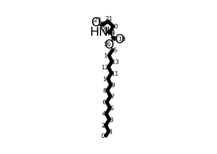 CCCCCCCCCCCCCCCCOC(=O)[C@@H]1CCC(=O)N1